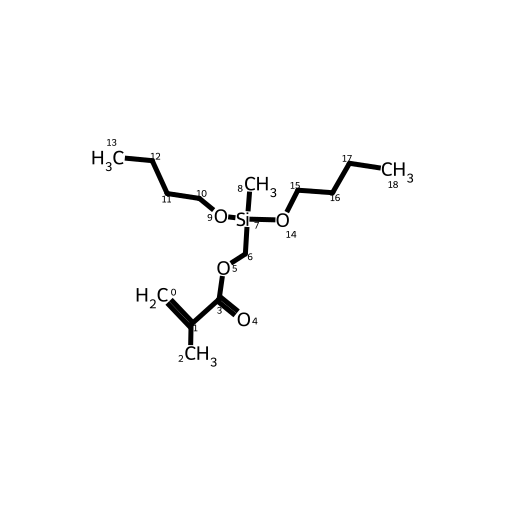 C=C(C)C(=O)OC[Si](C)(OCCCC)OCCCC